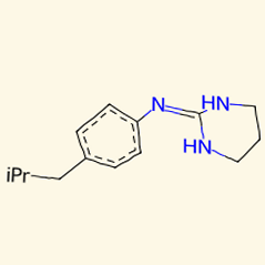 CC(C)Cc1ccc(N=C2NCCCN2)cc1